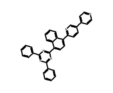 c1ccc(-c2nc(-c3ccccc3)nc(-c3ccc(-c4ccc(-c5ccncc5)cn4)c4ccccc34)n2)cc1